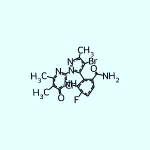 Cc1nn(-c2nc(C)c(C)c(=O)[nH]2)c(-c2c(C(N)=O)ccc(F)c2Cl)c1Br